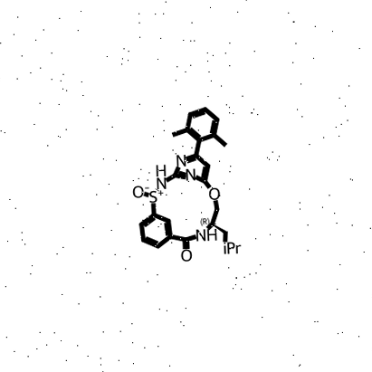 Cc1cccc(C)c1-c1cc2nc(n1)N[S+]([O-])c1cccc(c1)C(=O)N[C@H](CC(C)C)CO2